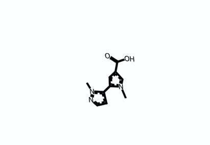 Cn1cc(C(=O)O)cc1-c1ccnn1C